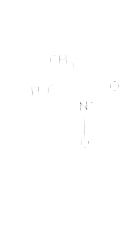 C[N+](=O)[O-].[CH3]